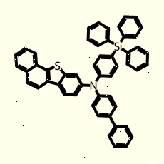 c1ccc(-c2ccc(N(c3ccc([Si](c4ccccc4)(c4ccccc4)c4ccccc4)cc3)c3ccc4c(c3)sc3c5ccccc5ccc43)cc2)cc1